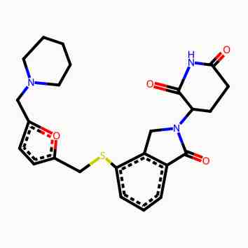 O=C1CCC(N2Cc3c(SCc4ccc(CN5CCCCC5)o4)cccc3C2=O)C(=O)N1